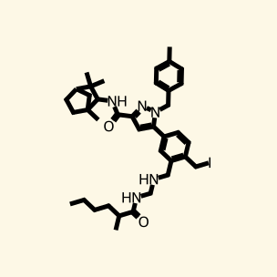 CCCCC(C)C(=O)NCNCc1cc(-c2cc(C(=O)NC3C4(C)CCC(C4)C3(C)C)nn2Cc2ccc(C)cc2)ccc1CI